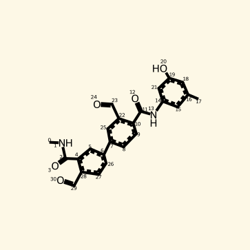 CNC(=O)c1cc(-c2ccc(C(=O)Nc3cc(C)cc(O)c3)c(C=O)c2)ccc1C=O